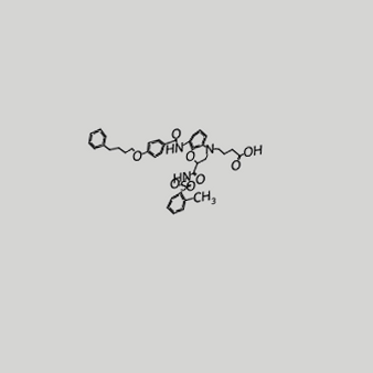 Cc1ccccc1S(=O)(=O)NC(=O)C1CN(CCCC(=O)O)c2cccc(NC(=O)c3ccc(OCCCCc4ccccc4)cc3)c2O1